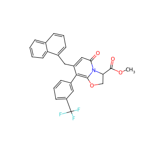 COC(=O)C1COc2c(-c3cccc(C(F)(F)F)c3)c(Cc3cccc4ccccc34)cc(=O)n21